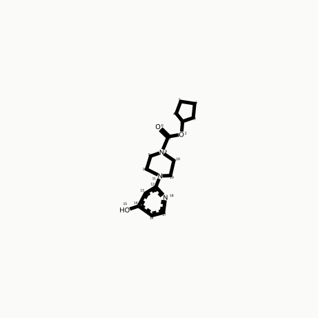 O=C(OC1CCCC1)N1CCN(c2cc(O)ccn2)CC1